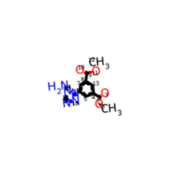 COC(=O)c1cccc(C(=O)OC)c1.Nn1cnnn1